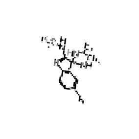 CNC1=Nc2ccc(Br)cc2C1(NC)NC